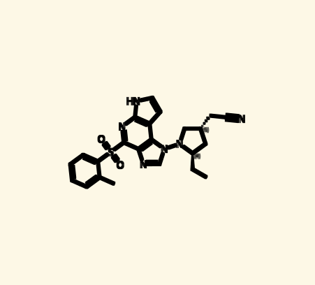 CC[C@@H]1C[C@@H](CC#N)CN1n1cnc2c(S(=O)(=O)c3ccccc3C)nc3[nH]ccc3c21